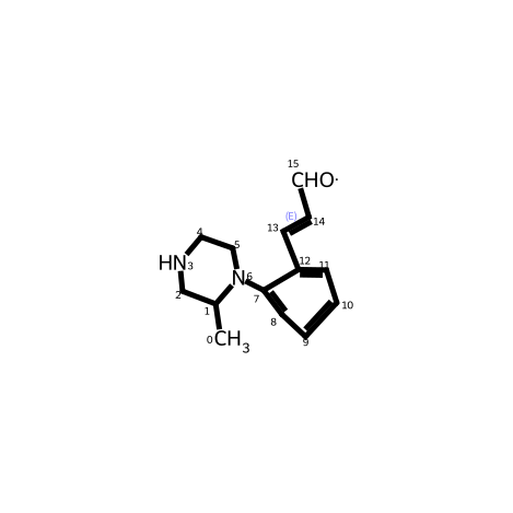 CC1CNCCN1c1ccccc1/C=C/[C]=O